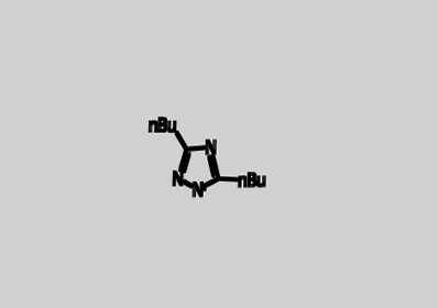 CCCCC1=NC(CCCC)=N[N]1